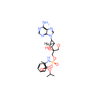 CC(C)OC(=O)C(C)NP(=O)(OCC12CO[C@]3(C(n4cnc5c(N)ncnc54)[C@@H]3O1)[C@@H]2O)Oc1ccccc1